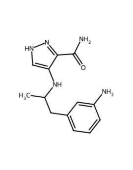 CC(Cc1cccc(N)c1)Nc1c[nH]nc1C(N)=O